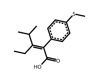 CCC(=C(C(=O)O)c1ccc(SC)cc1)C(C)C